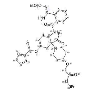 CCOC(=O)/N=C(\N)c1ccccc1C(=O)NC1=CC=C(OC(=O)c2ccco2)CC1(C(=O)CC)N1CCC(OCC(=O)OC(C)C)CC1